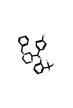 FC(F)(F)c1ccccc1SC(c1ccc(Cl)cc1)C1CN(Cc2ccccc2)CCO1